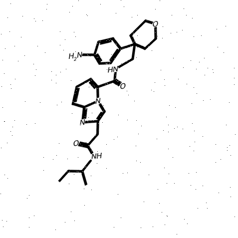 CCC(C)NC(=O)Cc1cn2c(C(=O)NCC3(c4ccc(N)cc4)CCOCC3)cccc2n1